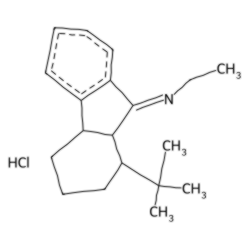 CCN=C1c2ccccc2C2CCCC(C(C)(C)C)C12.Cl